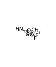 CCc1nc(C(F)F)ccc1S(=O)(=O)C1CC2(CNC2)C1